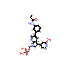 C=CC(=O)Nc1cccc(-c2cnc3c(c2)c(-c2ccnc(OC)c2)cn3COP(=O)(O)O)c1